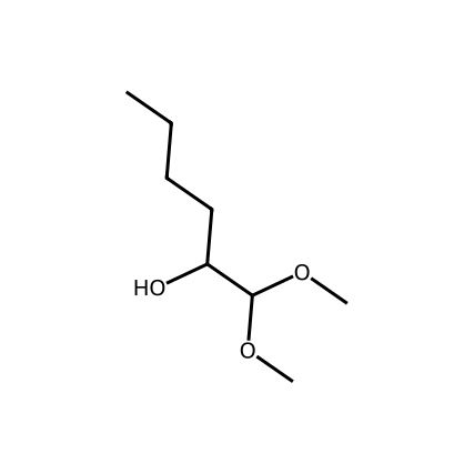 CCCCC(O)C(OC)OC